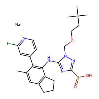 Cc1cc2c(c(Nc3nc(S(=O)O)nn3COCC[Si](C)(C)C)c1-c1ccnc(F)c1)CCC2.[Na]